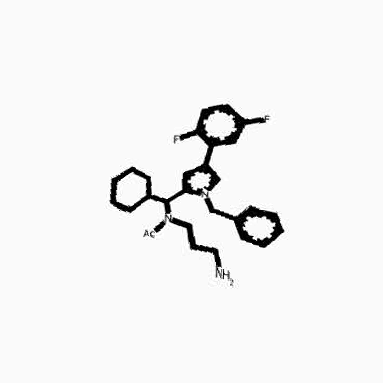 CC(=O)N(CCCN)C(c1cc(-c2cc(F)ccc2F)cn1Cc1ccccc1)C1CCCCC1